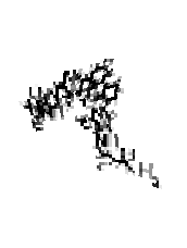 COc1nc(-c2cccc(-c3cccc(-c4cnc(CN5CCC6(C5)NC(=O)N(C)C6=O)c(OC)n4)c3Cl)c2Cl)cnc1CNC[C@@H](C)CCC(N)=O